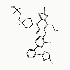 CCCc1c(Cc2ccc(-c3ccccc3C3=NOC(O)N3)cc2F)c(=O)n([C@H]2CC[C@](C)(OCC(C)(C)O)CC2)c2nc(C)nn12